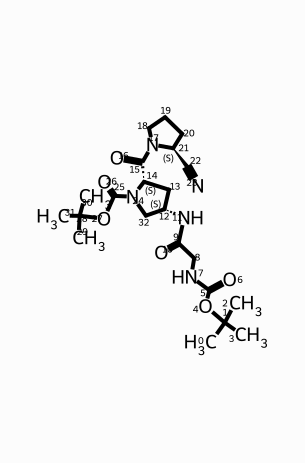 CC(C)(C)OC(=O)NCC(=O)N[C@H]1C[C@@H](C(=O)N2CCC[C@H]2C#N)N(C(=O)OC(C)(C)C)C1